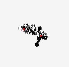 N=C(N)NC(NC(=O)C(NC(=N)N)NC(=O)C(NC(=N)N)NC(=O)C(NC(=N)N)NC(=O)C(NC(=O)C(O)N(Cc1ccc(/C=C/c2ccccc2)cc1)c1ccc2ncccc2c1N)c1ccccc1)C(N)=O